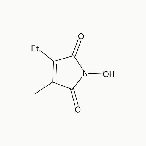 CCC1=C(C)C(=O)N(O)C1=O